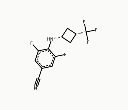 N#Cc1cc(F)c(N[C@H]2C[C@@H](C(F)(F)F)C2)c(F)c1